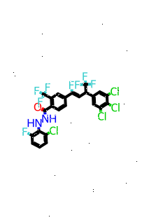 O=C(NNc1c(F)cccc1Cl)c1ccc(C(F)=CC(c2cc(Cl)c(Cl)c(Cl)c2)C(F)(F)F)cc1C(F)(F)F